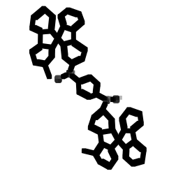 Cc1ccc2c(c1)C1(c3ccccc3-2)c2ccccc2-c2ccc([S+]([O-])c3ccc([S+]([O-])c4ccc5c(c4)C4(c6ccccc6-c6ccccc64)c4cccc(C)c4-5)cc3)cc21